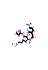 CN(C)c1ccc(C2OC2N[C@@H](CCCCN)C(=O)COc2ccon2)cn1